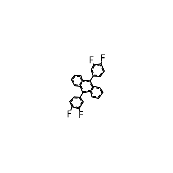 Fc1ccc(-c2c3ccccc3c(-c3ccc(F)c(F)c3)c3ccccc23)cc1F